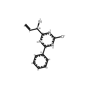 C=C[C@@H](CC)c1nc(Cl)nc(-c2ccccc2)n1